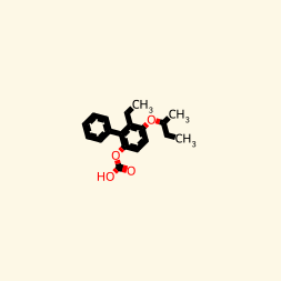 CCc1c(OC(C)CC)ccc(OC(=O)O)c1-c1ccccc1